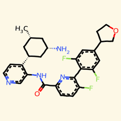 C[C@@H]1C[C@H](N)C[C@H](c2ccncc2NC(=O)c2ccc(F)c(-c3c(F)cc(C4CCOC4)cc3F)n2)C1